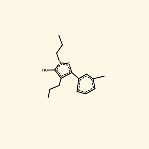 CCCc1c(-c2cccc(C)c2)nn(CCC)c1O